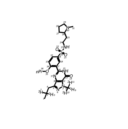 [2H]C([2H])(C)Cc1nn(C([2H])([2H])[2H])c2c(=O)[nH]c(-c3cc(S(=O)(=O)NCCC4CCCN4C)ccc3OCCC)nc12